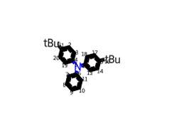 CC(C)(C)c1ccc(N(c2[c]cccc2)c2ccc(C(C)(C)C)cc2)cc1